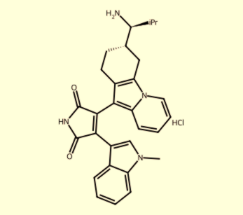 CC(C)[C@H](N)[C@H]1CCc2c(C3=C(c4cn(C)c5ccccc45)C(=O)NC3=O)c3ccccn3c2C1.Cl